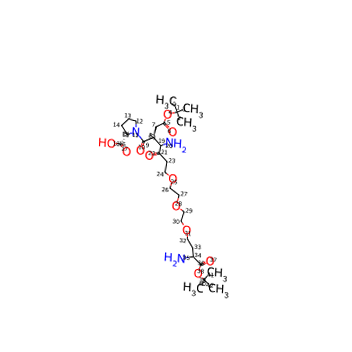 CC(C)(C)OC(=O)C[C@H](C(=O)N1CCC[C@H]1C(=O)O)C(N)C(=O)CCOCCOCCOCCC(N)C(=O)OC(C)(C)C